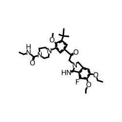 CCNC(=O)N1CCN(c2cc(C(=O)CN3Cc4cc(OCC)c(OCC)c(F)c4C3=N)cc(C(C)(C)C)c2OC)CC1